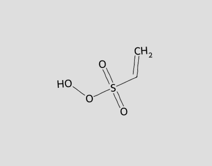 C=CS(=O)(=O)OO